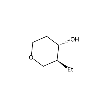 CC[C@H]1COCC[C@@H]1O